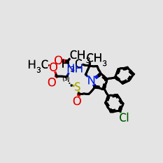 COC(=O)[C@@H](CSC(=O)Cc1c(-c2ccc(Cl)cc2)c(-c2ccccc2)c2n1CC(C)(C)C2)NC(C)=O